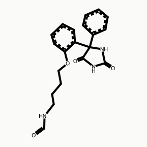 O=CNCCCCOc1ccccc1C1(c2ccccc2)NC(=O)NC1=O